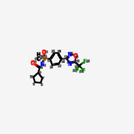 CS(=O)(=NC(=O)C1CCCC1)c1ccc(-c2noc(C(F)(F)F)n2)cc1